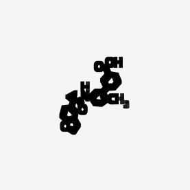 Cc1ccc(NC(=O)C2(c3ccc4c(c3)CCO4)CC2)cc1-c1cccc(C(=O)O)c1